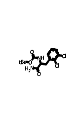 CC(C)(C)OC(=O)NC(Cc1cccc(Cl)c1Cl)C(N)=O